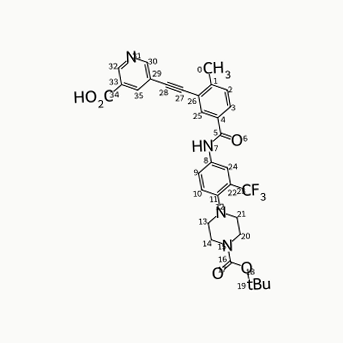 Cc1ccc(C(=O)Nc2ccc(N3CCN(C(=O)OC(C)(C)C)CC3)c(C(F)(F)F)c2)cc1C#Cc1cncc(C(=O)O)c1